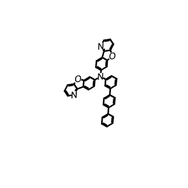 c1ccc(-c2ccc(-c3cccc(N(c4ccc5c(c4)oc4cccnc45)c4ccc5c(c4)oc4cccnc45)c3)cc2)cc1